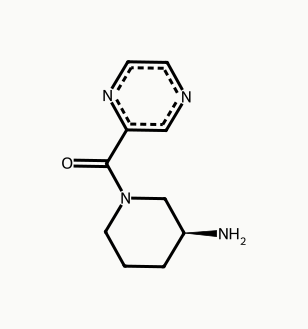 N[C@H]1CCCN(C(=O)c2cnccn2)C1